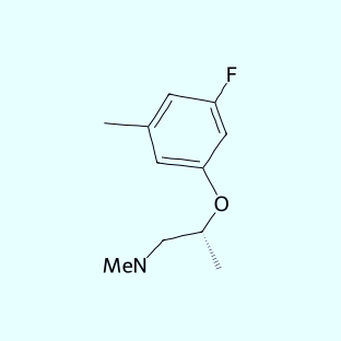 CNC[C@@H](C)Oc1cc(C)cc(F)c1